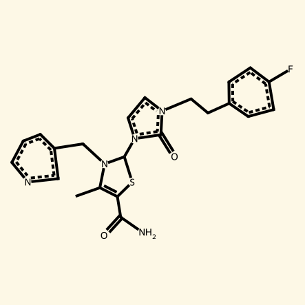 CC1=C(C(N)=O)SC(n2ccn(CCc3ccc(F)cc3)c2=O)N1Cc1cccnc1